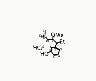 CCC(c1cccc(O)c1)C(CN(C)C)OC.Cl